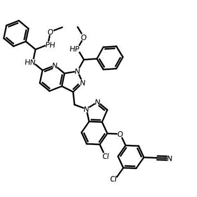 COPC(Nc1ccc2c(Cn3ncc4c(Oc5cc(Cl)cc(C#N)c5)c(Cl)ccc43)nn(C(POC)c3ccccc3)c2n1)c1ccccc1